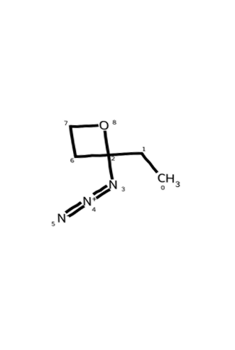 CCC1(N=[N+]=[N-])CCO1